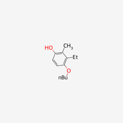 CCCCOc1ccc(O)c(C)c1CC